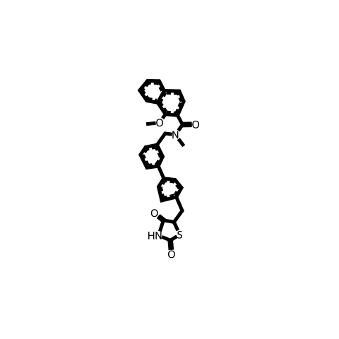 COc1c(C(=O)N(C)Cc2cccc(-c3ccc(CC4SC(=O)NC4=O)cc3)c2)ccc2ccccc12